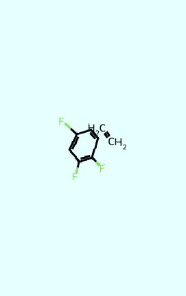 C=C.Fc1ccc(F)c(F)c1